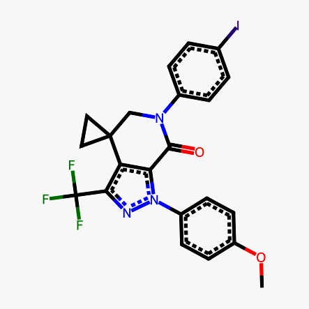 COc1ccc(-n2nc(C(F)(F)F)c3c2C(=O)N(c2ccc(I)cc2)CC32CC2)cc1